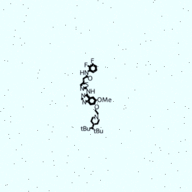 COc1cc2c(Nc3ncc(CC(=O)Nc4cccc(F)c4F)s3)ncnc2cc1OCCN1CCC(C(C(C)(C)C)C(C)(C)C)CC1